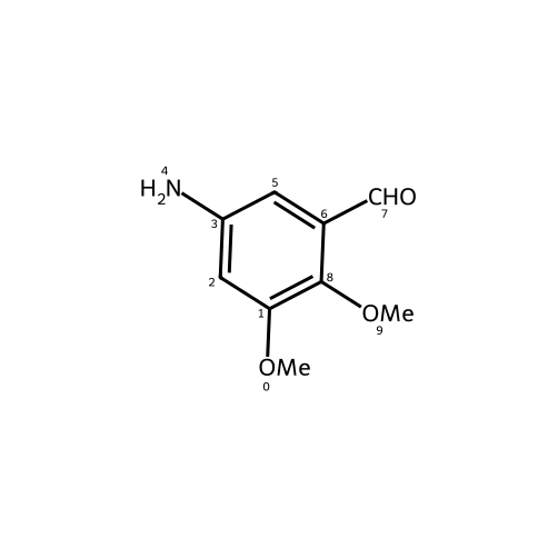 COc1cc(N)cc(C=O)c1OC